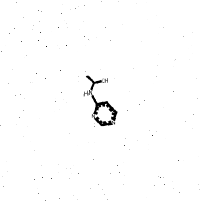 CC(O)Nc1ccn[c]n1